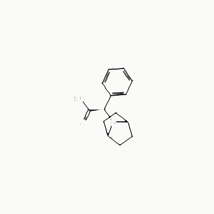 CCC(=O)[C@@H](c1ccccc1)N1C2CCC1CC2